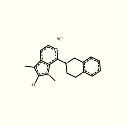 CCc1c(C)c2ccnc(N3CCc4ccccc4C3)c2n1C.Cl